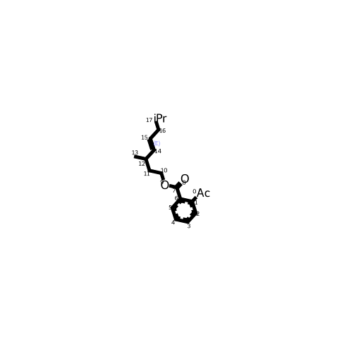 CC(=O)c1ccccc1C(=O)OCCC(C)/C=C/CC(C)C